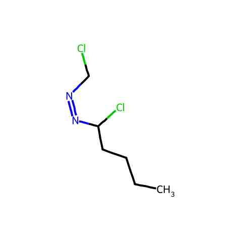 CCCCC(Cl)/N=N\CCl